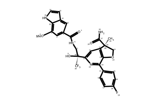 COc1cc(C(=O)NC[C@](O)(c2cc3c(c(-c4ccc(F)cc4)n2)OC[C@]3(C)C(N)=O)C(F)(F)F)cc2cc[nH]c12